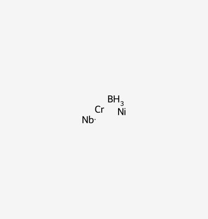 B.[Cr].[Nb].[Ni]